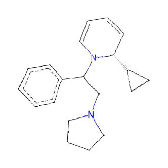 C1=C[C@H](C2CC2)N(C(CN2CCCC2)c2ccccc2)C=C1